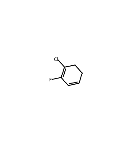 FC1=C(Cl)CCC=C1